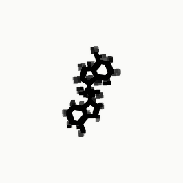 Cc1cccc2c1C=CC2[Si](C)(C)C1C=Cc2c(C)cccc21